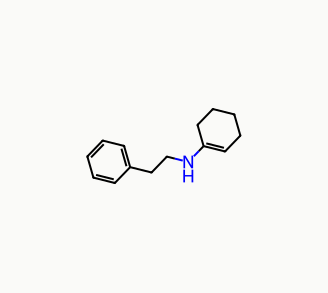 C1=C(NCCc2ccccc2)CCCC1